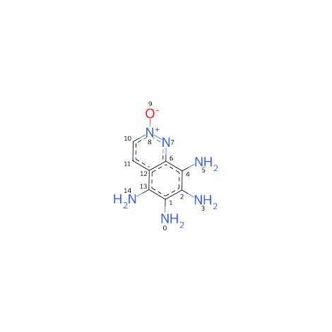 Nc1c(N)c(N)c2n[n+]([O-])ccc2c1N